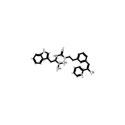 N#CC(=Cc1cccc(CCOC(=O)NC(Cc2coc3ccccc23)B(O)O)c1)c1ccccn1